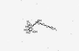 COCCOCCOCCOP(O)OCCCO[C@@H]1O[C@H](CO)[C@H](O)[C@H](O)[C@@H]1NC(C)=O